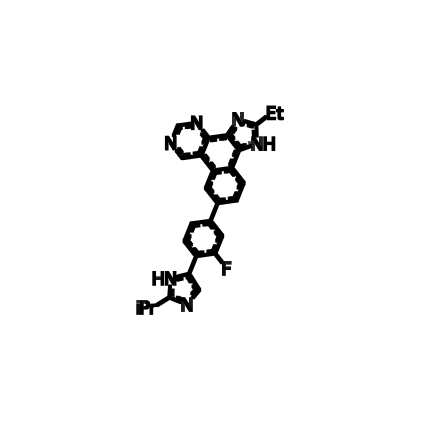 CCc1nc2c3ncncc3c3cc(-c4ccc(-c5cnc(C(C)C)[nH]5)c(F)c4)ccc3c2[nH]1